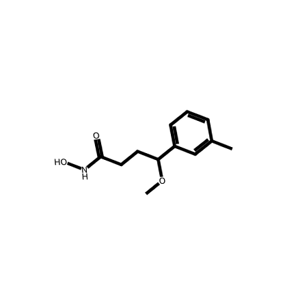 COC(CCC(=O)NO)c1cccc(C)c1